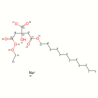 CCCCCCCCCCCCOC(=O)CC(O)(CC(=O)OOCC)C(=O)[O-].[Na+]